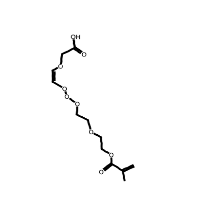 C=C(C)C(=O)OCCOCCOOO/C=C\OCC(=O)O